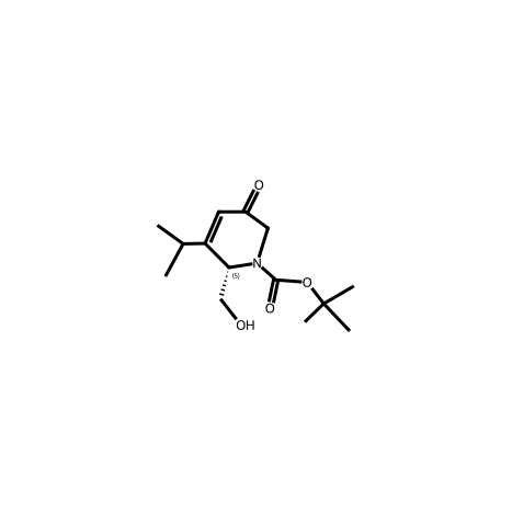 CC(C)C1=CC(=O)CN(C(=O)OC(C)(C)C)[C@@H]1CO